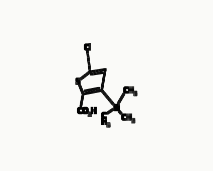 C[Si](C)(C)c1cc(Cl)sc1C(=O)O